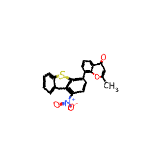 Cc1cc(=O)c2cccc(-c3ccc([N+](=O)[O-])c4c3sc3ccccc34)c2o1